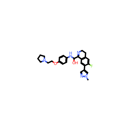 Cn1cc(-c2cc3c(cc2F)CCN=C3C(O)Nc2ccc(OCCN3CCCC3)cc2)cn1